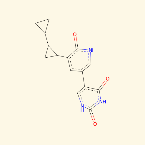 O=c1[nH]cc(-c2c[nH]c(=O)c(C3CC3C3CC3)c2)c(=O)[nH]1